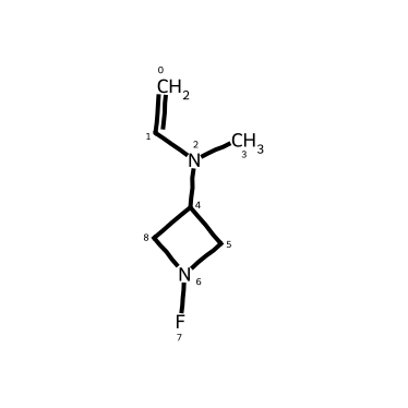 C=CN(C)C1CN(F)C1